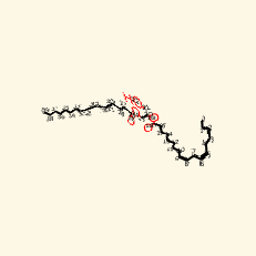 CC/C=C\C/C=C\C/C=C\CCCCCCCC(=O)O[C@@H](CO)COC(=O)CCCCCCCCCCCCC